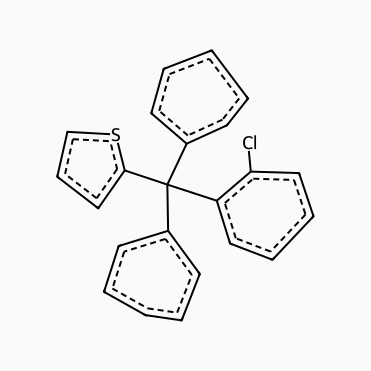 Clc1ccccc1C(c1ccccc1)(c1ccccc1)c1cccs1